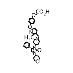 Cc1nc(Oc2ccc(OCC(=O)O)cc2)ccc1CN1CCC(N2C(=O)N(C3CCOCC3)C[C@H]2c2ccccc2)CC1